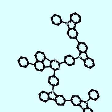 c1ccc(-c2ccc3c4c(cccc24)-c2nc(-c4ccc(-n5c6ccccc6c6ccc(-c7ccc8c(c7)c7ccccc7n8-c7ccccc7)cc65)cc4)nc(-c4ccc(-n5c6ccccc6c6ccc(-c7ccc8c(c7)c7ccccc7n8-c7ccccc7)cc65)cc4)c2-3)cc1